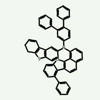 C1=Cc2c(sc3ccc(N(c4ccc(-c5ccccc5)c(-c5ccccc5)c4)c4cccc5ccc6c(oc7cccc(-c8ccccc8)c76)c45)cc23)CC1